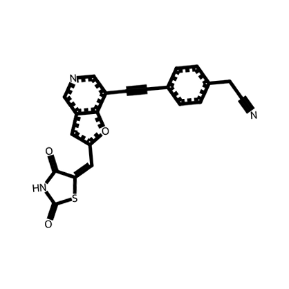 N#CCc1ccc(C#Cc2cncc3cc(C=C4SC(=O)NC4=O)oc23)cc1